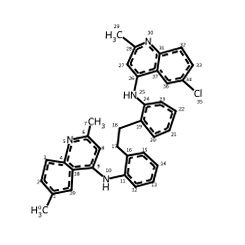 Cc1ccc2nc(C)cc(Nc3ccccc3CCc3ccccc3Nc3cc(C)nc4ccc(Cl)cc34)c2c1